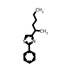 [CH2]CCCC(C)c1csc(-c2ccccc2)n1